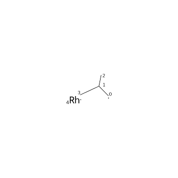 [CH2]C(C)C.[Rh]